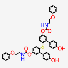 O=C(NCCOc1ccccc1)Oc1ccc(Sc2ccc(OC(=O)NCCOc3ccccc3)cc2-c2ccc(O)cc2)c(-c2ccc(O)cc2)c1